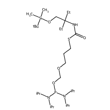 CCC(CC)(CO[Si](C)(C)C(C)(C)C)NC(=O)SCCCOCOP(N(C(C)C)C(C)C)N(C(C)C)C(C)C